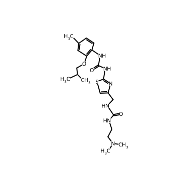 Cc1ccc(NC(=O)Nc2nc(CNC(=O)NCCN(C)C)cs2)c(OCC(C)C)c1